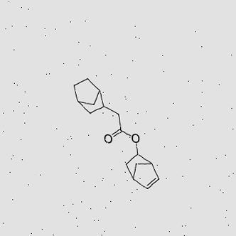 O=C(CC1CC2CCC1C2)OC1CC2C=CC1C2